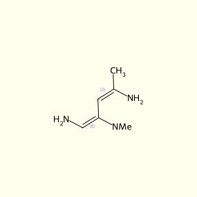 CNC(/C=C(/C)N)=C/N